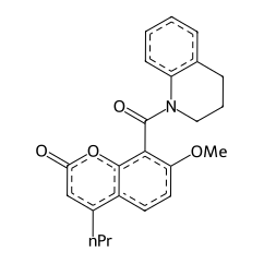 CCCc1cc(=O)oc2c(C(=O)N3CCCc4ccccc43)c(OC)ccc12